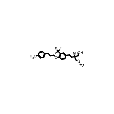 Cc1ccc(CCCOc2ccc(CCC(N)(CO)COP=O)cc2C(F)(F)F)cc1